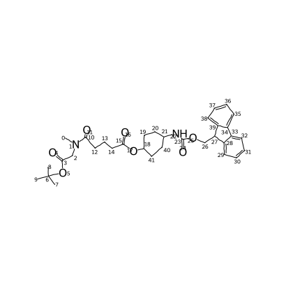 CN(CC(=O)OC(C)(C)C)C(=O)CCCC(=O)OC1CCC(NC(=O)OCC2c3ccccc3-c3ccccc32)CC1